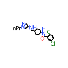 CCCn1cc(NCC2CCC(NC(=O)c3cc(Cl)ccc3Cl)CC2)cn1